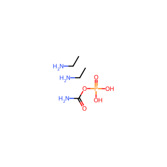 CCN.CCN.NC(=O)OP(=O)(O)O